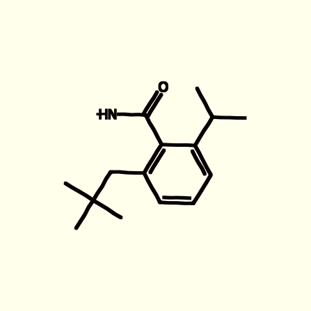 CC(C)c1cccc(CC(C)(C)C)c1C([NH])=O